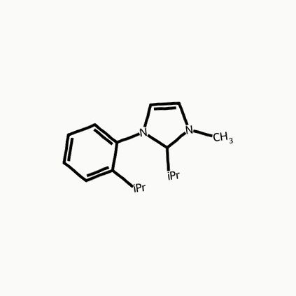 CC(C)c1ccccc1N1C=CN(C)C1C(C)C